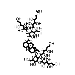 C=C1CC23CCC4[C@](C)(C(=O)OC(O)C(OC(O)C(O)C(O)C(O)CCO)C(OC(O)C(O)C(O)C(O)CCOO)C(O)CCO)CCC[C@@]4(C)[C@@H]2CC[C@]1(OC1OC(CO)C(O)C(OC(O)C(O)C(O)C(O)CCO)C1OC(O)C(O)C(O)C(O)CCO)C3